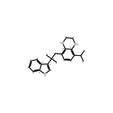 CC(C)c1ccc(CC(C)(C)c2csc3ccccc23)c2c1OCCO2